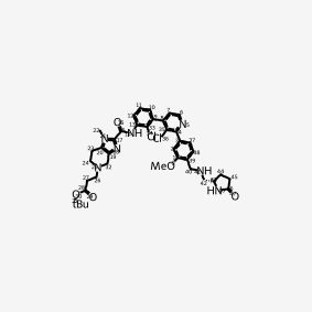 COc1cc(-c2nccc(-c3cccc(NC(=O)c4nc5c(n4C)CCN(CCC(=O)OC(C)(C)C)C5)c3Cl)c2Cl)ccc1CNC[C@@H]1CCC(=O)N1